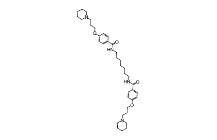 O=C(NCCCCCCCNC(=O)c1ccc(OCCCN2CCCCC2)cc1)c1ccc(OCCCN2CCCCC2)cc1